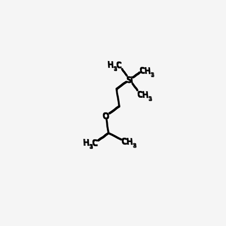 CC(C)OCC[Si](C)(C)C